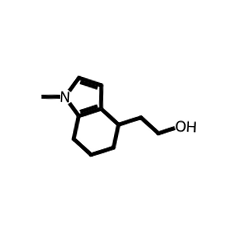 Cn1ccc2c1CCCC2CCO